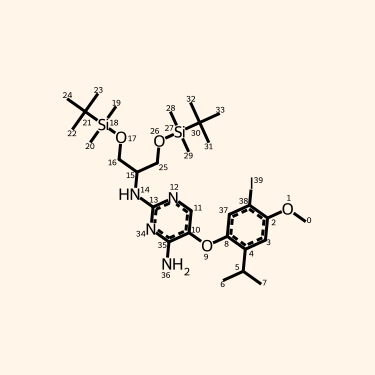 COc1cc(C(C)C)c(Oc2cnc(NC(CO[Si](C)(C)C(C)(C)C)CO[Si](C)(C)C(C)(C)C)nc2N)cc1I